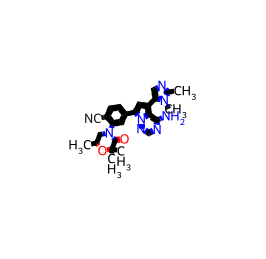 Cc1ncc(-c2cc(-c3ccc(C#N)c(N4CC(C)OC(C)(C)C4=O)c3)n3ncnc(N)c23)n1C